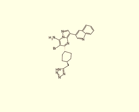 Nc1c(Br)c([C@H]2CC[C@H](Cc3nnn[nH]3)CC2)nc2c(-c3cnc4ccccc4c3)cnn12